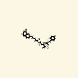 COC(=O)C(CCNC(=O)CCCCc1ccc2c(n1)NCCC2)NC(=O)OCc1ccccc1